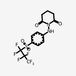 O=C1CCCC(=O)N1Nc1ccc(S(=O)(=O)C(F)(F)C(F)(F)C(F)(F)F)cc1